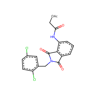 CC(=O)OCC(=O)Nc1cccc2c1C(=O)N(Cc1cc(Cl)ccc1Cl)C2=O